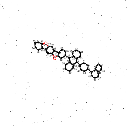 c1ccc2c(-c3ccc(-c4c5ccccc5c(-c5ccc6c(c5)oc5cc7c(cc56)oc5ccccc57)c5ccccc45)cc3)cccc2c1